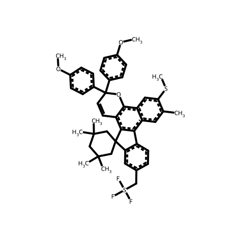 COc1ccc(C2(c3ccc(OC)cc3)C=Cc3c4c(c5cc(C)c(SC)cc5c3O2)-c2ccc(CS(F)(F)F)cc2C42CC(C)(C)CC(C)(C)C2)cc1